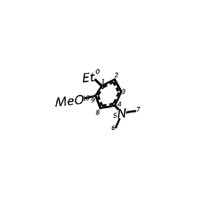 CCc1ccc(N(C)C)cc1OC